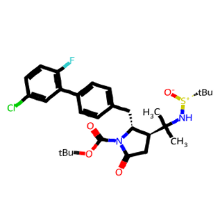 CC(C)(C)OC(=O)N1C(=O)C[C@H](C(C)(C)N[S@+]([O-])C(C)(C)C)[C@H]1Cc1ccc(-c2cc(Cl)ccc2F)cc1